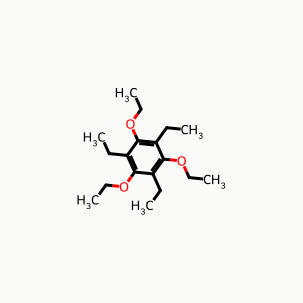 CCOc1c(CC)c(OCC)c(CC)c(OCC)c1CC